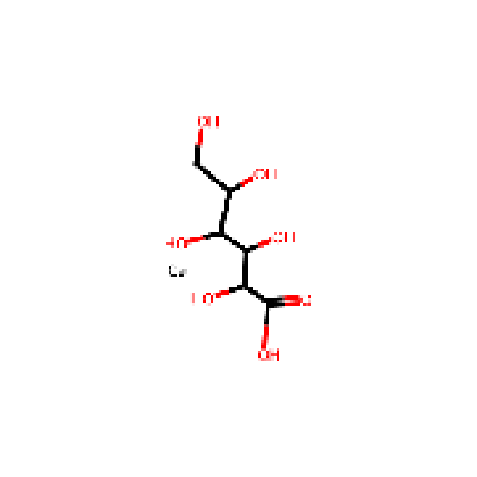 O=C(O)C(O)C(O)C(O)C(O)CO.[Ce]